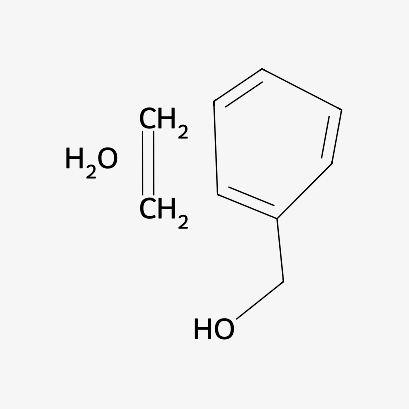 C=C.O.OCc1ccccc1